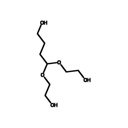 OCCCC(OCCO)OCCO